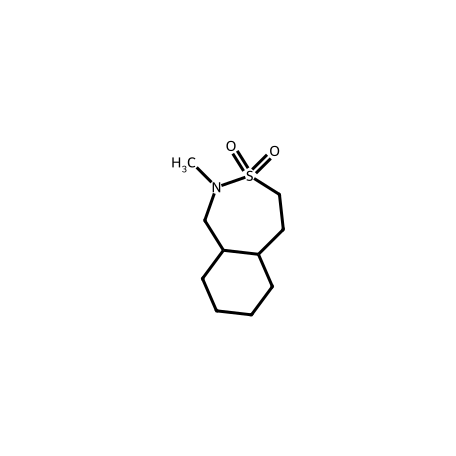 CN1CC2CCCCC2CCS1(=O)=O